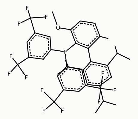 COc1ccc(C)c(-c2c(C(C)C)cc(C(C)C)cc2C(C)C)c1P(c1cc(C(F)(F)F)cc(C(F)(F)F)c1)c1cc(C(F)(F)F)cc(C(F)(F)F)c1